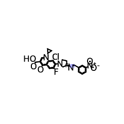 O=C(O)c1cn(C2CC2)c2c(Cl)c(N3CC[C@H](/N=C/c4cccc([N+](=O)[O-])c4)C3)c(F)cc2c1=O